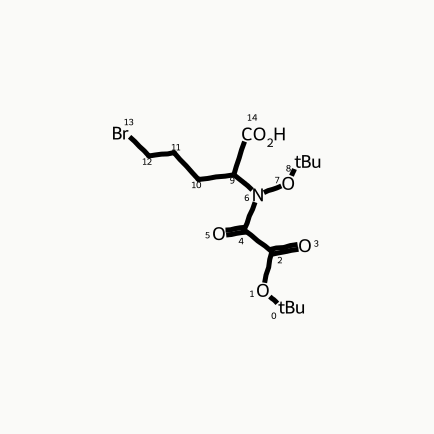 CC(C)(C)OC(=O)C(=O)N(OC(C)(C)C)C(CCCBr)C(=O)O